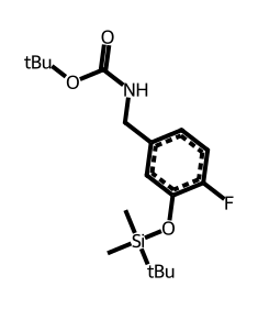 CC(C)(C)OC(=O)NCc1ccc(F)c(O[Si](C)(C)C(C)(C)C)c1